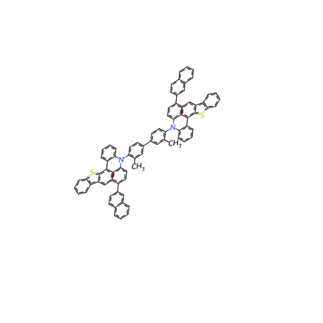 Cc1cc(-c2ccc(N(c3ccc(-c4ccc5ccccc5c4)cc3)c3ccccc3-c3cccc4c3sc3ccccc34)c(C)c2)ccc1N(c1ccc(-c2ccc3ccccc3c2)cc1)c1ccccc1-c1cccc2c1sc1ccccc12